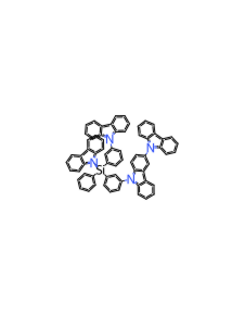 c1ccc([Si](c2cccc(-n3c4ccccc4c4ccccc43)c2)(c2cccc(-n3c4ccccc4c4cc(-n5c6ccccc6c6ccccc65)ccc43)c2)n2c3ccccc3c3ccccc32)cc1